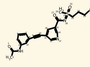 CC(=O)Nc1cccc(C#Cc2cncc(C(=O)N=S(C)(=O)CCCBr)c2)c1